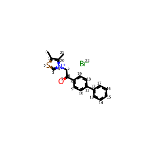 Cc1sc[n+](CC(=O)c2ccc(-c3ccccc3)cc2)c1C.[Br-]